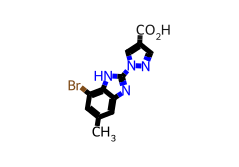 Cc1cc(Br)c2[nH]c(-n3cc(C(=O)O)cn3)nc2c1